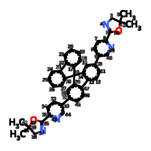 CC1(C)CN=C(c2ccc(-c3ccc4c(c3)C3(c5ccccc5-c5ccccc53)c3cc(-c5ccc(C6=NCC(C)(C)O6)nc5)ccc3-4)cn2)O1